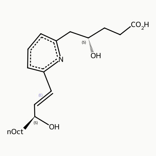 CCCCCCCC[C@H](O)/C=C/c1cccc(C[C@@H](O)CCC(=O)O)n1